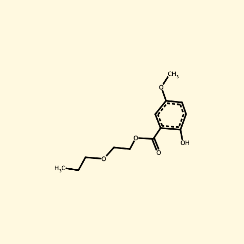 CCCOCCOC(=O)c1cc(OC)ccc1O